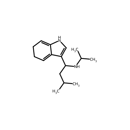 CC(C)CC(NC(C)C)c1c[nH]c2c1=CCCC=2